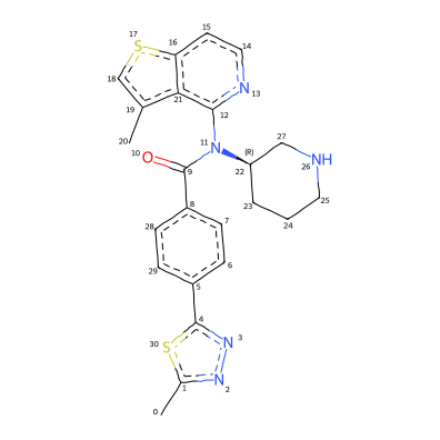 Cc1nnc(-c2ccc(C(=O)N(c3nccc4scc(C)c34)[C@@H]3CCCNC3)cc2)s1